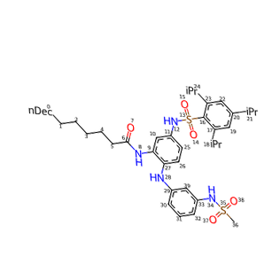 CCCCCCCCCCCCCCCC(=O)Nc1cc(NS(=O)(=O)c2c(C(C)C)cc(C(C)C)cc2C(C)C)ccc1Nc1cccc(NS(C)(=O)=O)c1